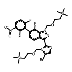 C[Si](C)(C)CCOCn1c(Br)cnc1-c1nn(COCC[Si](C)(C)C)c2c(F)c(-c3c(F)ccc([N+](=O)[O-])c3F)ccc12